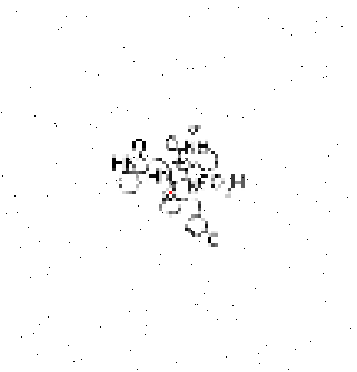 O=C(NC1CC1)C(=O)C(CC1CC2(CCCCC2)NC1=O)NC(=O)C(CC1CCCCC1)N(C(=O)O)C(Cc1cccc(Cl)c1)c1ccccc1